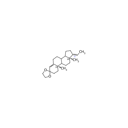 C/C=C1\CCC2C3CCC4=CC5(CC[C@@]4(C)C3CC[C@@]12C)OCCO5